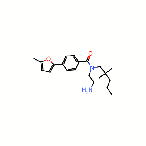 CCCC(C)(C)CN(CCN)C(=O)c1ccc(-c2ccc(C)o2)cc1